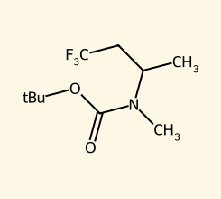 CC(CC(F)(F)F)N(C)C(=O)OC(C)(C)C